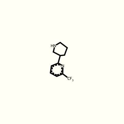 FC(F)(F)c1cccc(C2CCCNC2)n1